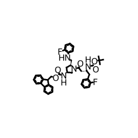 CC(C)(C)OC(=O)N[C@@H](CC(=O)N1C[C@@H](NC(=O)OCC2c3ccccc3-c3ccccc32)C[C@H]1CNc1ccccc1F)Cc1ccccc1F